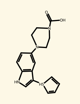 O=C(O)N1CCN(c2ccc3[nH]cc([SH]4C=CC=C4)c3c2)CC1